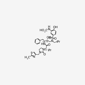 Cc1nc(CN2CCN([C@H](C(=O)N[C@@H](Cc3ccccc3)[C@H](O)CN(CC(C)C)S(=O)(=O)c3ccc(O)c(NC(=O)O)c3)C(C)C)C2=O)cs1